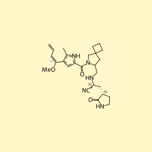 C=C/C=C(/OC)c1cc(C(=O)N2CC3(CCC3)CC2CN[C@H](C#N)C[C@@H]2CCNC2=O)[nH]c1C